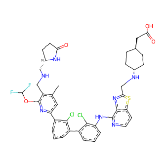 Cc1cc(-c2cccc(-c3cccc(Nc4nccc5sc(CN[C@H]6CC[C@H](CC(=O)O)CC6)nc45)c3Cl)c2Cl)nc(OC(F)F)c1CNC[C@@H]1CCC(=O)N1